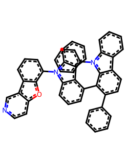 c1ccc(-c2ccc3c4ccccc4n(-c4ccccc4)c3c2-c2cccc3c2c2ccccc2n3-c2cccc3c2oc2ccncc23)cc1